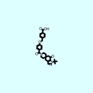 CC(C)(C)n1ncc2c1C(=O)CC1(CCN(C(=O)c3ccc(OCc4ccc(C(=O)O)cc4)cc3)CC1)C2